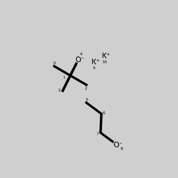 CC(C)(C)[O-].CCC[O-].[K+].[K+]